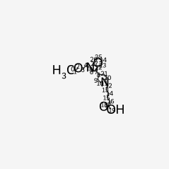 CCOCCn1cc(C2CCN(CCCCCC(=O)O)CC2)c2ccccc21